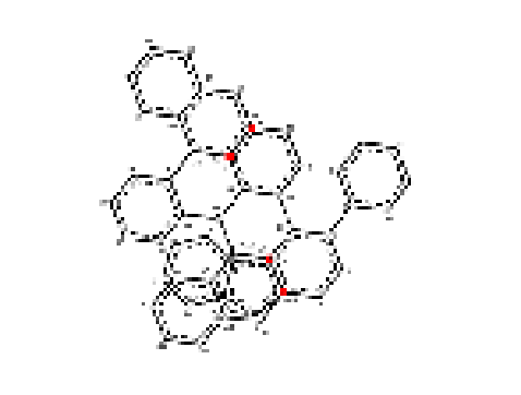 c1ccc(-c2ccc3oc4ccccc4c3c2-c2ccccc2N(c2ccccc2-c2cccc3ccccc23)c2cccc3ccccc23)cc1